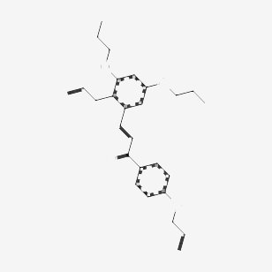 C=CCOc1ccc(C(=O)C=Cc2cc(OCCC)cc(OCCC)c2CC=C)cc1